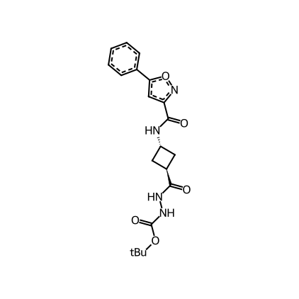 CC(C)(C)OC(=O)NNC(=O)[C@H]1C[C@H](NC(=O)c2cc(-c3ccccc3)on2)C1